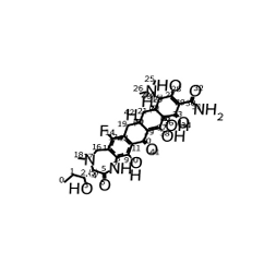 CCC(O)[C@H]1C(=O)Nc2c(O)c3c(c(F)c2CN1C)C[C@H]1C[C@H]2[C@H](N(C)C)C(O)=C(C(N)=O)C(=O)[C@@]2(O)C(O)=C1C3=O